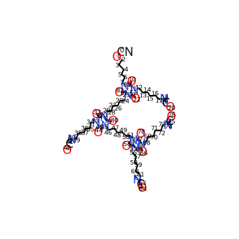 N#COCCCCCCn1c(=O)n(CCCCCCN=C=O)c(=O)n(CCCCCCn2c(=O)n(CCCCCCN=C=O)c(=O)n(CCCCCCn3c(=O)n(CCCCCCN=C=O)c(=O)n(CCCCCCN=C=O)c3=O)c2=O)c1=O